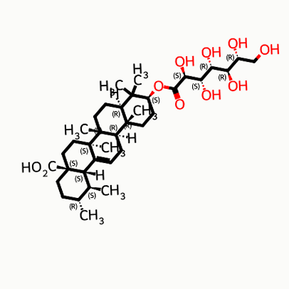 C[C@H]1[C@H](C)CC[C@]2(C(=O)O)CC[C@]3(C)C(=CC[C@@H]4[C@@]5(C)CC[C@H](OC(=O)[C@@H](O)[C@@H](O)[C@H](O)[C@H](O)[C@H](O)CO)C(C)(C)[C@@H]5CC[C@]43C)[C@H]12